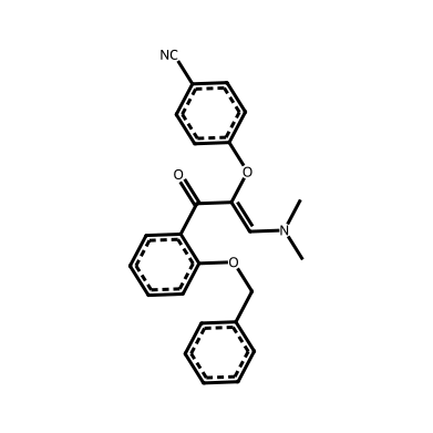 CN(C)/C=C(\Oc1ccc(C#N)cc1)C(=O)c1ccccc1OCc1ccccc1